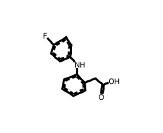 O=C(O)Cc1ccccc1Nc1ccc(F)cc1